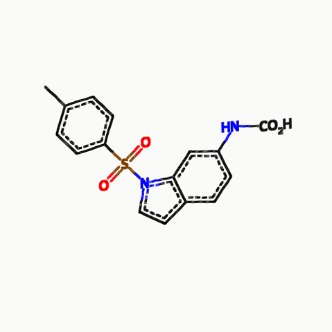 Cc1ccc(S(=O)(=O)n2ccc3ccc(NC(=O)O)cc32)cc1